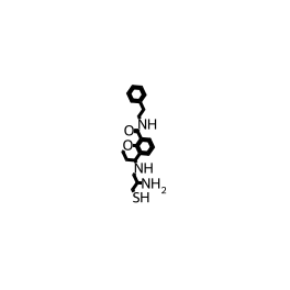 NC(CS)CNC1CCOc2c(C(=O)NCCc3ccccc3)cccc21